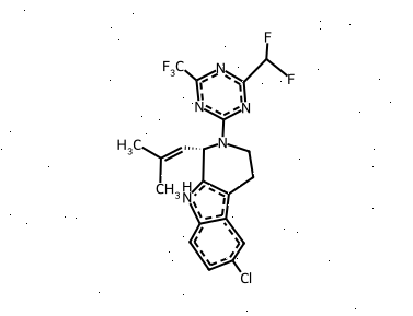 CC(C)=C[C@H]1c2[nH]c3ccc(Cl)cc3c2CCN1c1nc(C(F)F)nc(C(F)(F)F)n1